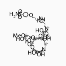 CO[C@]1(C)C[C@H](O[C@H]2[C@H](C)[C@@H](O[C@@H]3O[C@H](C)C[C@H](N(C)CCc4cn(CCCOc5ccc(S(N)(=O)=O)cc5)nn4)[C@H]3O)[C@](C)(O)C[C@@H](C)CN(C)[C@H](C)[C@@H](O)[C@](C)(O)[C@@H](C)OC(=O)[C@@H]2C)O[C@@H](C)[C@@H]1O